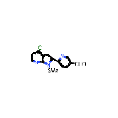 CSn1c(-c2ccc(C=O)cn2)cc2c(Cl)ccnc21